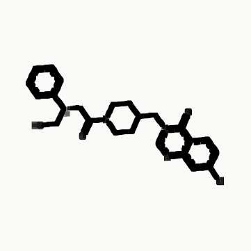 O=C(C[C@H](CO)c1ccccc1)N1CCC(Cn2cnc3cc(Cl)ccc3c2=O)CC1